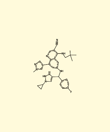 Cn1cc(-c2cc(NC(C3=CN(C4CC4)NN3)c3ccc(F)cc3)cc3c(NCC(C)(C)C)c(C#N)cnc23)cn1